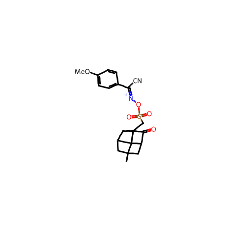 COc1ccc(/C(C#N)=N/OS(=O)(=O)CC23CC4CC5(C)CC(C2=O)C453)cc1